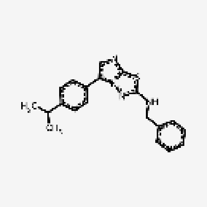 CC(C)c1ccc(-c2cnc3sc(NCc4ccccc4)nn23)cc1